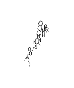 CCCC[C@@H](CC)COC(=O)CCSc1ncc(N2CCC3(CC2)Cc2ccccc2[C@H]3N[S@+]([O-])C(C)(C)C)nc1C